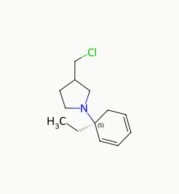 CC[C@@]1(N2CCC(CCl)C2)C=CC=CC1